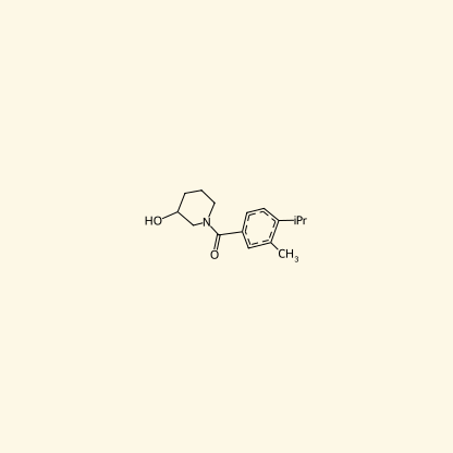 Cc1cc(C(=O)N2CCCC(O)C2)ccc1C(C)C